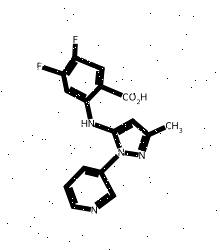 Cc1cc(Nc2cc(F)c(F)cc2C(=O)O)n(-c2cccnc2)n1